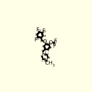 CN1CCN(Cc2ccc(OC(F)F)c(OCc3cc(F)c(F)cc3F)c2)CC1